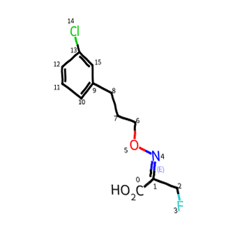 O=C(O)/C(CF)=N\OCCCc1cccc(Cl)c1